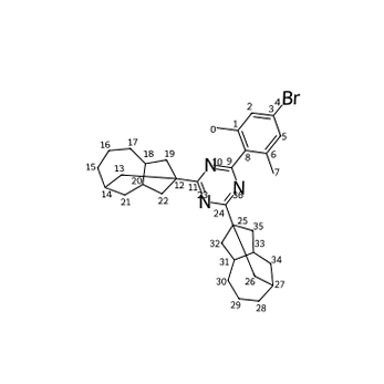 Cc1cc(Br)cc(C)c1-c1nc(C23CC4CCCC(C2)C(C4)C3)nc(C23CC4CCCC(C2)C(C4)C3)n1